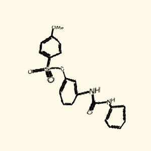 COc1ccc(S(=O)(=O)Oc2cccc(NC(=O)Nc3ccccc3)c2)cc1